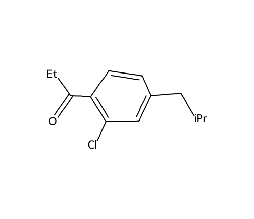 CCC(=O)c1ccc(CC(C)C)cc1Cl